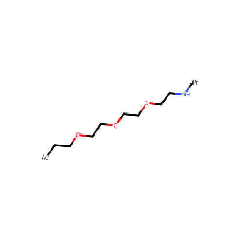 CC(=O)CCOCCOCCOCCNC(C)C